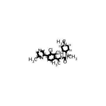 Cc1cncc(-c2ccc(C(C)NC(=O)N(C)C3CCN(C)CC3)c(Cl)c2Cl)n1